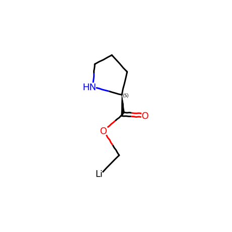 [Li][CH2]OC(=O)[C@@H]1CCCN1